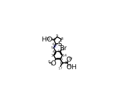 COc1cc(/C=C2\SCCC2O)c(Br)cc1C(C)C(=O)O